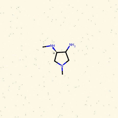 CN[C@@H]1CN(C)CC1N